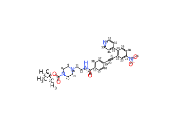 CC(C)(C)OC(=O)N1CCN(CCNC(=O)c2ccc(C#Cc3cc([N+](=O)[O-])ccc3-c3ccncc3)cc2)CC1